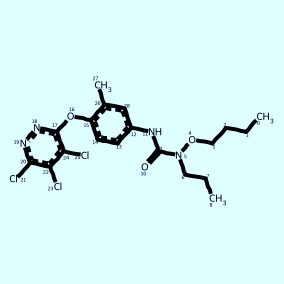 CCCCON(CCC)C(=O)Nc1ccc(Oc2nnc(Cl)c(Cl)c2Cl)c(C)c1